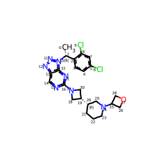 C[C@H](c1ccc(Cl)cc1Cl)n1nnc2cnc(N3CC([C@H]4CCCN(C5COC5)C4)C3)nc21